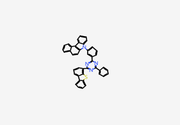 c1ccc(-c2nc(-c3cccc(-n4c5ccccc5c5c6ccccc6ccc54)c3)nc(-c3cccc4c3sc3ccccc34)n2)cc1